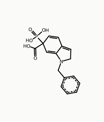 O=C(O)C1(P(=O)(O)O)C=CC2=CCN(Cc3ccccc3)C2=C1